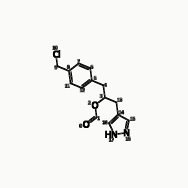 O=COC(Cc1ccc(CCl)cc1)Cc1cn[nH]c1